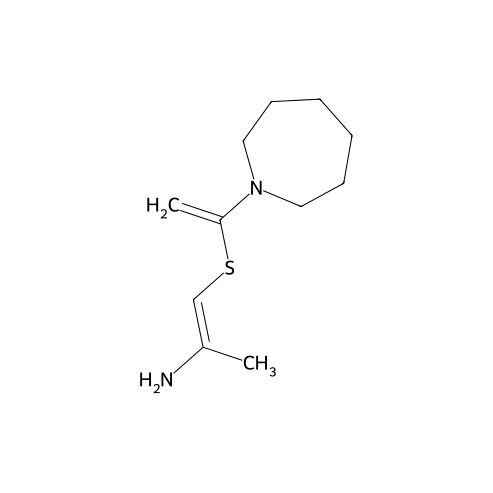 C=C(S/C=C(\C)N)N1CCCCCC1